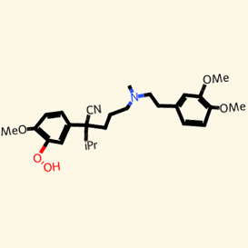 COc1ccc(CCN(C)CCCC(C#N)(c2ccc(OC)c(OO)c2)C(C)C)cc1OC